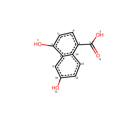 O=C(O)c1ccc(O)c2cc(O)ccc12